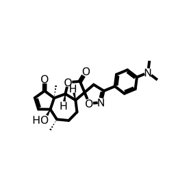 C[C@H]1CC[C@@H]2[C@@H](OC(=O)C23CC(c2ccc(N(C)C)cc2)=NO3)[C@]2(C)C(=O)C=C[C@@]12O